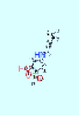 C[Si](C)(C)C#CCNc1ccc(S(C)(=O)=O)c(O)c1